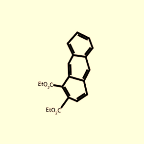 CCOC(=O)c1ccc2cc3ccccc3cc2c1C(=O)OCC